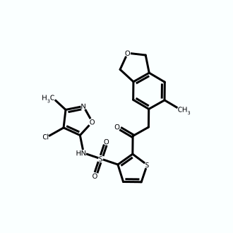 Cc1cc2c(cc1CC(=O)c1sccc1S(=O)(=O)Nc1onc(C)c1Cl)COC2